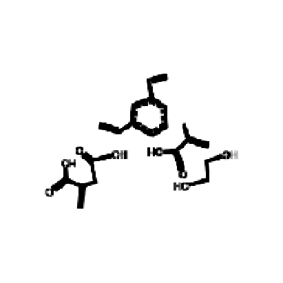 C=C(C)C(=O)O.C=C(CC(=O)O)C(=O)O.C=Cc1cccc(C=C)c1.OCCO